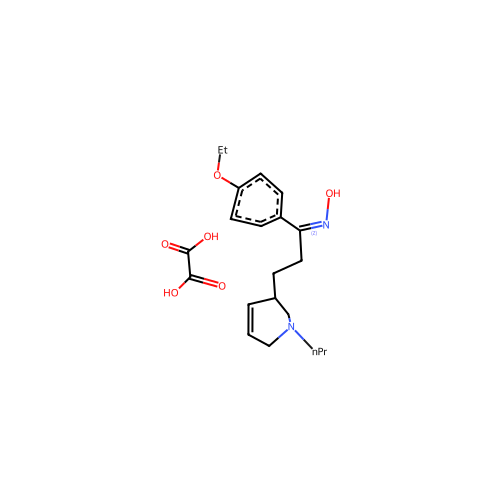 CCCN1CC=CC(CC/C(=N/O)c2ccc(OCC)cc2)C1.O=C(O)C(=O)O